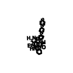 C=CC(=O)N[C@@H]1CCCC[C@@H]1Nc1nc(Nc2ccc(N3CCC(N4CCN(C)CC4)CC3)cc2)c(C(N)=O)nc1CC